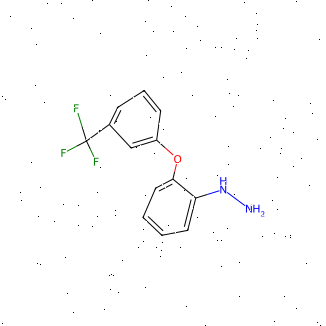 NNc1ccccc1Oc1cccc(C(F)(F)F)c1